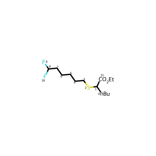 CCCCC(SCCCCCC(F)F)C(=O)OCC